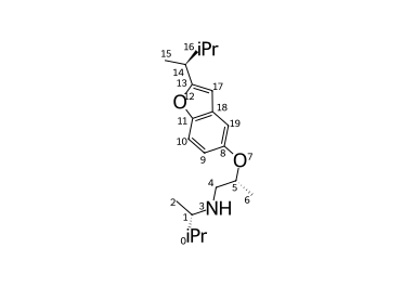 CC(C)[C@H](C)NC[C@@H](C)Oc1ccc2oc([C@@H](C)C(C)C)cc2c1